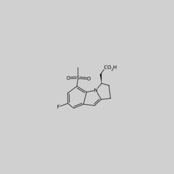 CS(=O)(=O)c1cc(F)cc2cc3n(c12)[C@@H](CC(=O)O)CC3